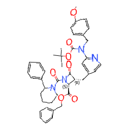 COc1ccc(CN(C(=O)OC(C)(C)C)c2cc(C[C@H]3C(=O)N(C(=O)N4CCCCC4c4ccccc4)[C@@H]3C(=O)OCc3ccccc3)ccn2)cc1